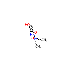 CCCCCN(CCCCC)C(=O)CNC(=O)c1ccc2cc(O)ccc2c1